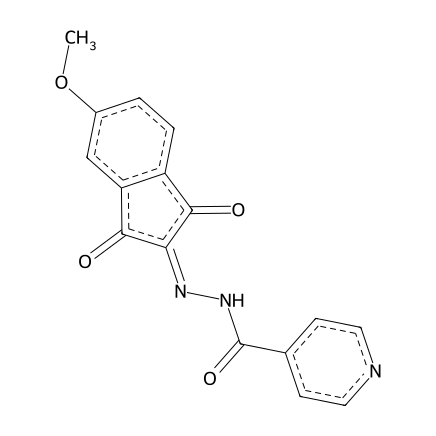 COc1ccc2c(=O)/c(=N\NC(=O)c3ccncc3)c(=O)c2c1